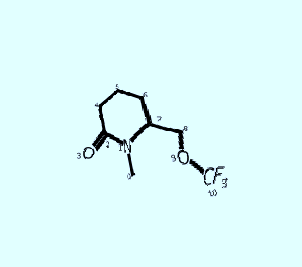 CN1C(=O)CCCC1COC(F)(F)F